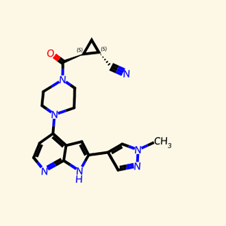 Cn1cc(-c2cc3c(N4CCN(C(=O)[C@H]5C[C@@H]5C#N)CC4)ccnc3[nH]2)cn1